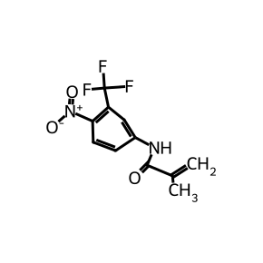 C=C(C)C(=O)Nc1ccc([N+](=O)[O-])c(C(F)(F)F)c1